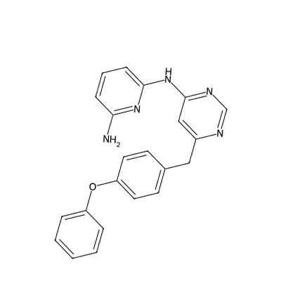 Nc1cccc(Nc2cc(Cc3ccc(Oc4ccccc4)cc3)ncn2)n1